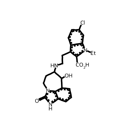 CCn1c(C(=O)O)c(CCNC2CCn3c(=O)[nH]c4cccc(c43)C2O)c2ccc(Cl)cc21